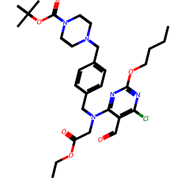 CCCCOc1nc(Cl)c(C=O)c(N(CC(=O)OCC)Cc2ccc(CN3CCN(C(=O)OC(C)(C)C)CC3)cc2)n1